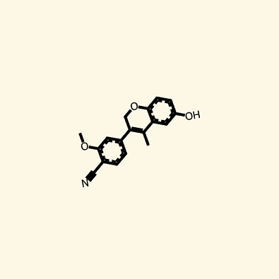 COc1cc(C2=C(C)c3cc(O)ccc3OC2)ccc1C#N